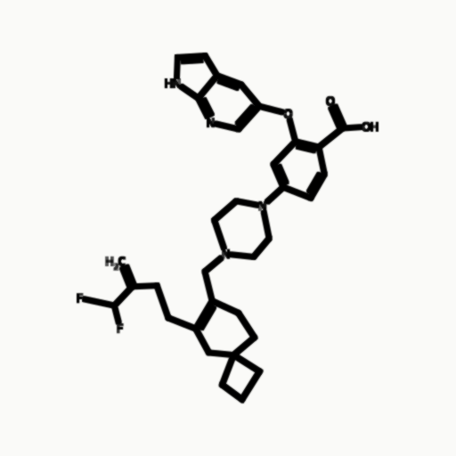 C=C(CCC1=C(CN2CCN(c3ccc(C(=O)O)c(Oc4cnc5[nH]ccc5c4)c3)CC2)CCC2(CCC2)C1)C(F)F